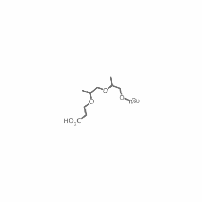 CCCCOCC(C)OCC(C)OCCC(=O)O